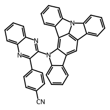 N#Cc1ccc(-c2nc3ccccc3nc2-n2c3ccccc3c3cc4c5ccccc5n5c6ccccc6c(c32)c45)cc1